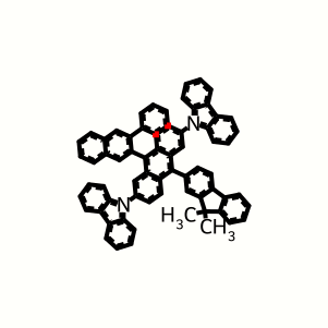 CC1(C)c2ccccc2-c2ccc(-c3c4cc(-n5c6ccccc6c6ccccc65)ccc4c(-c4cc5ccccc5cc4-c4ccccc4)c4cc(-n5c6ccccc6c6ccccc65)ccc34)cc21